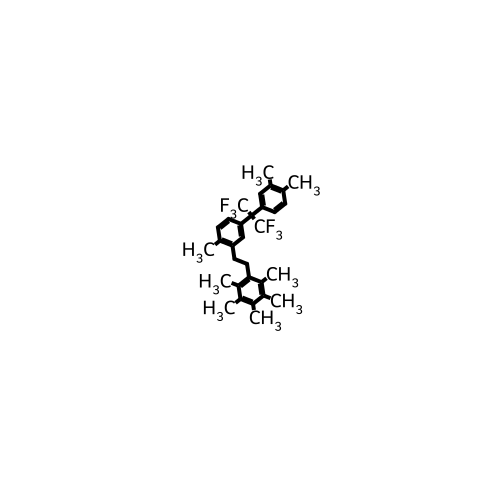 Cc1ccc(C(c2ccc(C)c(CCc3c(C)c(C)c(C)c(C)c3C)c2)(C(F)(F)F)C(F)(F)F)cc1C